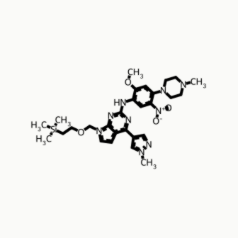 COc1cc(N2CCN(C)CC2)c([N+](=O)[O-])cc1Nc1nc(-c2cnn(C)c2)c2ccn(COCC[Si](C)(C)C)c2n1